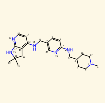 CN1CCC(CNc2ccc(CNc3ccnc4c3CC(C)(C)N4)cn2)CC1